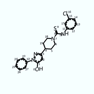 Oc1cc(C2CCN(C(=S)Nc3cccc(Cl)c3)CC2)nn1-c1ccccc1